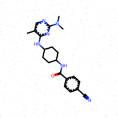 Cc1cnc(N(C)C)nc1NC1CCC(NC(=O)c2ccc(C#N)cc2)CC1